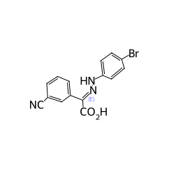 N#Cc1cccc(/C(=N\Nc2ccc(Br)cc2)C(=O)O)c1